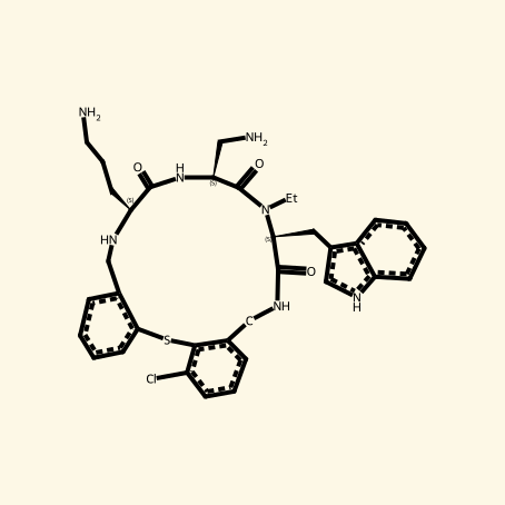 CCN1C(=O)[C@H](CN)NC(=O)[C@H](CCCN)NCc2ccccc2Sc2c(Cl)cccc2CNC(=O)[C@@H]1Cc1c[nH]c2ccccc12